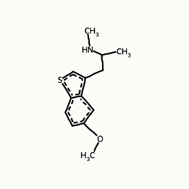 CNC(C)Cc1csc2ccc(OC)cc12